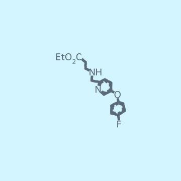 CCOC(=O)CCNCc1ccc(Oc2ccc(F)cc2)cn1